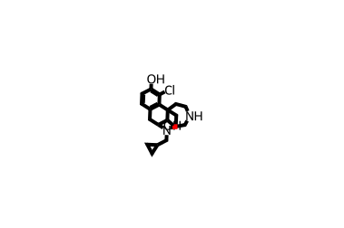 Oc1ccc2c(c1Cl)C13CCNCCC1(O)C(C2)N(CC1CC1)CC3